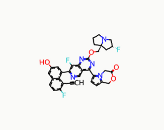 C#Cc1c(F)ccc2cc(O)cc(-c3ncc4c(-c5ccc6n5CC(=O)OC6)nc(OC[C@@]56CCCN5C[C@H](F)C6)nc4c3F)c12